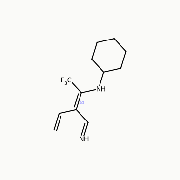 C=C/C(C=N)=C(/NC1CCCCC1)C(F)(F)F